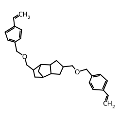 C=Cc1ccc(COCC2CC3C4CC(COCc5ccc(C=C)cc5)C(C4)C3C2)cc1